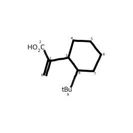 C=C(C(=O)O)C1CCCCC1C(C)(C)C